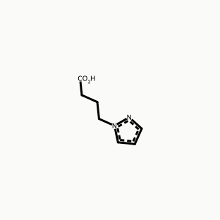 O=C(O)CCCn1cccn1